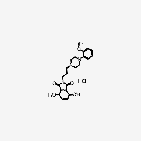 CC(C)Oc1ccccc1N1CCN(CCCN2C(=O)C3C(O)C=CC(O)C3C2=O)CC1.Cl